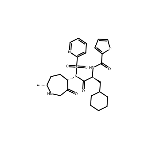 C[C@@H]1CC[C@H](N(C(=O)[C@H](CC2CCCCC2)NC(=O)c2ccco2)S(=O)(=O)c2ccccn2)C(=O)CN1